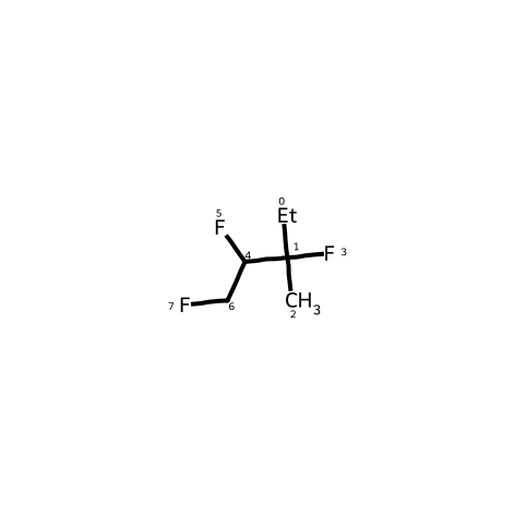 CCC(C)(F)C(F)CF